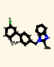 CCCCc1nc2ccccc2n1Cc1ccc(-c2cc(Cl)ccc2C(=O)O)cc1